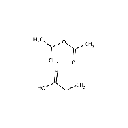 CC(=O)OC(C)C.CCC(=O)O